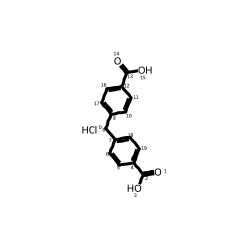 Cl.O=C(O)c1ccc(Cc2ccc(C(=O)O)cc2)cc1